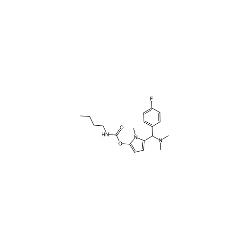 CCCCNC(=O)Oc1ccc(C(c2ccc(F)cc2)N(C)C)n1C